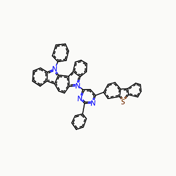 c1ccc(-c2nc(-c3ccc4c(c3)sc3ccccc34)cc(-n3c4ccccc4c4c3ccc3c5ccccc5n(-c5ccccc5)c34)n2)cc1